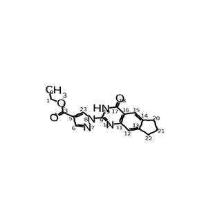 CCOC(=O)c1cnn(-c2nc3cc4c(cc3c(=O)[nH]2)CCC4)c1